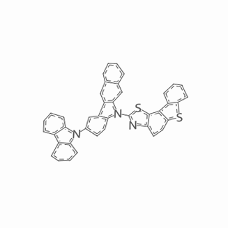 c1ccc2cc3c(cc2c1)c1cc(-n2c4ccccc4c4ccccc42)ccc1n3-c1nc2ccc3sc4ccccc4c3c2s1